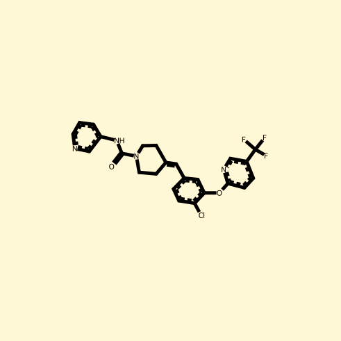 O=C(Nc1cccnc1)N1CCC(=Cc2ccc(Cl)c(Oc3ccc(C(F)(F)F)cn3)c2)CC1